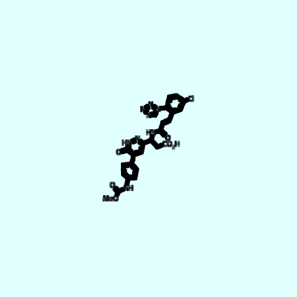 COC(=O)Nc1ccc(-c2cc(C(CC(=O)O)NC(=O)C=Cc3cc(Cl)ccc3-n3cnnn3)n[nH]c2=O)cc1